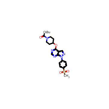 CC(C)COC(=O)N1CCC(Oc2ncnc3c2cnn3-c2ccc(S(C)(=O)=O)cc2)CC1